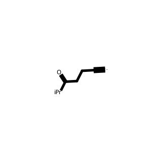 [C]#CCCC(=O)C(C)C